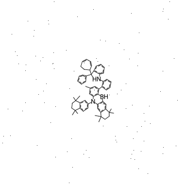 Cc1cc(-c2ccccc2Nc2ccccc2C(C)(c2ccccc2)C2C=CC=CCC2)c2c(c1)N(c1ccc3c(c1)C(C)(C)CCC3(C)C)c1cc3c(cc1B2)C(C)(C)CCC3(C)C